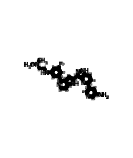 CN(C)CCNc1cc(F)cc(-c2nccc3[nH]c(-c4n[nH]c5ccc(-c6cncc(N)c6)nc45)cc23)c1